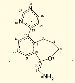 N/C=C1\OCCCc2c1cccc2-c1ccncn1